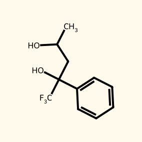 CC(O)CC(O)(c1ccccc1)C(F)(F)F